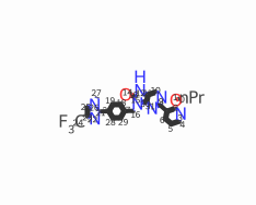 CCCOc1ncccc1-c1ncc2[nH]c(=O)n(Cc3ccc(-c4nc(C(F)(F)F)cn4C)cc3)c2n1